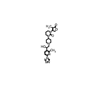 CC1=C(N2CCCN(C3CCN(CC(O)c4ccc(-n5cnnn5)nc4C)CC3)C2=O)COC1=O